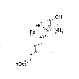 CCCCCCCCCCCCC/C=C/[C@@H](O)[C@@H](N)CO.[Fe]